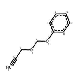 C#CCOCOc1[c]cccc1